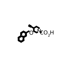 C#CC1CCN(C(=O)O)CC1OCc1ccc2ccccc2c1